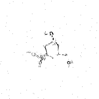 CO[C@@H](CCCO)CN(C)[SH](=O)=O